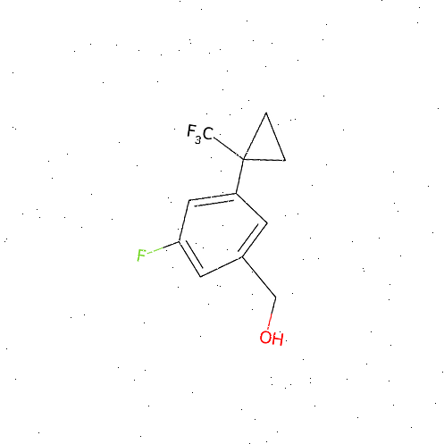 OCc1cc(F)cc(C2(C(F)(F)F)CC2)c1